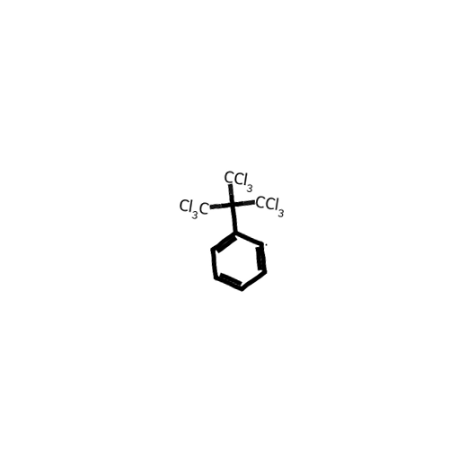 ClC(Cl)(Cl)C(c1[c]cccc1)(C(Cl)(Cl)Cl)C(Cl)(Cl)Cl